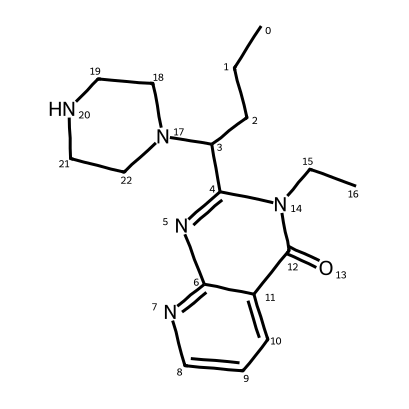 CCCC(c1nc2ncccc2c(=O)n1CC)N1CCNCC1